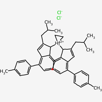 Cc1ccc(-c2cccc3c2C=C(CC(C)C)[CH]3[Hf+2]2([CH]3C(CC(C)C)=Cc4c(-c5ccc(C)cc5)cccc43)[CH2][CH2]2)cc1.[Cl-].[Cl-]